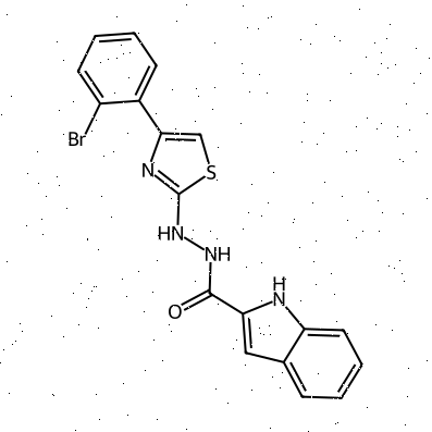 O=C(NNc1nc(-c2ccccc2Br)cs1)c1cc2ccccc2[nH]1